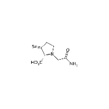 NC(=O)CN1CCC(=S)[C@H]1C(=O)O